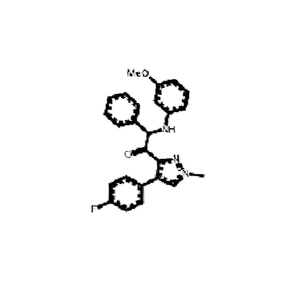 COc1cccc(NC(C(=O)c2nn(C)cc2-c2ccc(F)cc2)c2ccccc2)c1